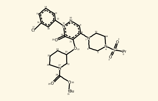 CC(C)S(=O)(=O)N1CCN(c2cnn(-c3cccc(Cl)c3)c(=O)c2OC2CCCN(C(=O)OC(C)(C)C)C2)CC1